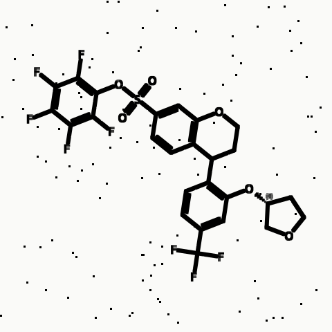 O=S(=O)(Oc1c(F)c(F)c(F)c(F)c1F)c1ccc2c(c1)OCCC2c1ccc(C(F)(F)F)cc1O[C@@H]1CCOC1